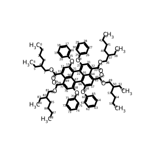 CCCCC(CC)COC(=O)c1cc(Oc2ccccc2)c2c3c(Oc4ccccc4)cc(C(=O)OCC(CC)CCCC)c4c(C(=O)OCC(CC)CCCC)cc(Oc5ccccc5)c(c5c(Oc6ccccc6)cc(C(=O)OCC(CC)CCCC)c1c25)c43